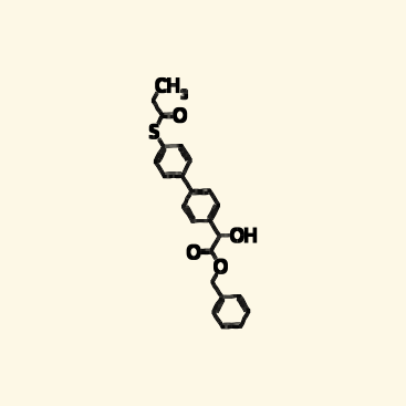 CCC(=O)Sc1ccc(-c2ccc(C(O)C(=O)OCc3ccccc3)cc2)cc1